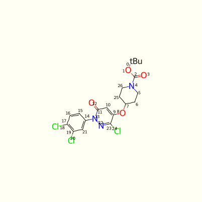 CC(C)(C)OC(=O)N1CCC(Oc2cc(=O)n(-c3ccc(Cl)c(Cl)c3)nc2Cl)CC1